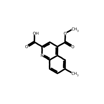 COC(=O)c1cc(C(=O)O)nc2ccc(C)cc12